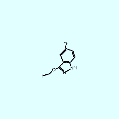 CCc1ccc2[nH]nc(OCI)c2c1